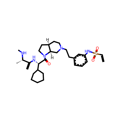 C=CS(=O)(=O)Nc1cccc(CCN2CC[C@@H]3CCN(C(=O)[C@@H](NC(=C)[C@H](C)NC)C4CCCCC4)[C@@H]3C2)c1